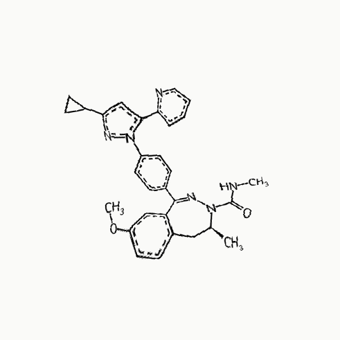 CNC(=O)N1N=C(c2ccc(-n3nc(C4CC4)cc3-c3ccccn3)cc2)c2cc(OC)ccc2C[C@@H]1C